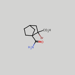 NC(=O)C12CCC(CC1(Br)C(=O)O)C2